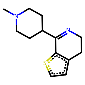 CN1CCC(C2=NCCc3ccsc32)CC1